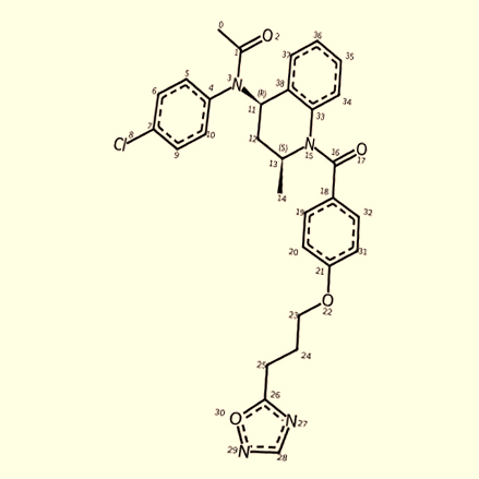 CC(=O)N(c1ccc(Cl)cc1)[C@@H]1C[C@H](C)N(C(=O)c2ccc(OCCCc3ncno3)cc2)c2ccccc21